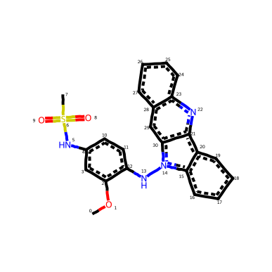 COc1cc(NS(C)(=O)=O)ccc1Nn1c2ccccc2c2nc3ccccc3cc21